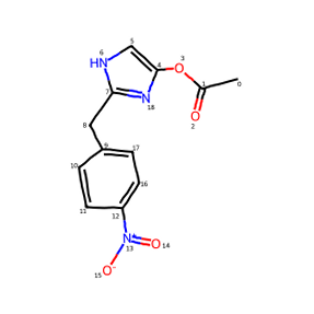 CC(=O)Oc1c[nH]c(Cc2ccc([N+](=O)[O-])cc2)n1